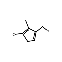 CC1=C(Cl)CC=C1CF